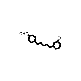 CCC1CCCC(CCCCCC2CCC(C=O)CC2)C1